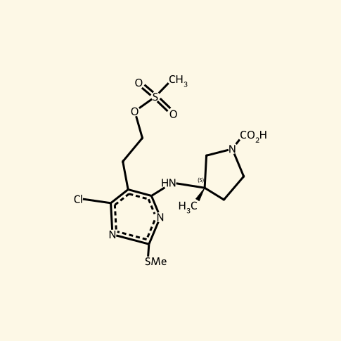 CSc1nc(Cl)c(CCOS(C)(=O)=O)c(N[C@@]2(C)CCN(C(=O)O)C2)n1